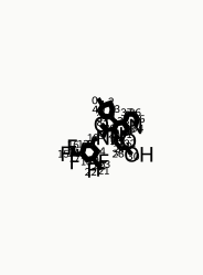 Cc1ccc(-c2c(C(=O)NCc3cc(C(F)(F)F)cc(C(F)(F)F)c3)n(C[C@@H](C)CO)c(=O)c3ncccc23)cc1